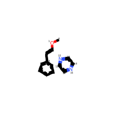 COC=Cc1ccccc1.c1cnccn1